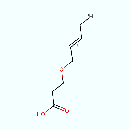 [2H]C/C=C/COCCC(=O)O